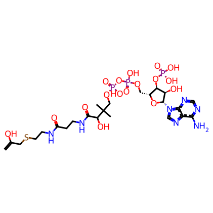 C=C(O)CSCCNC(=O)CCNC(=O)C(O)C(C)(C)COP(=O)(O)OP(=O)(O)OC[C@H]1O[C@@H](n2cnc3c(N)ncnc32)[C@H](O)[C@@H]1OP(=O)(O)O